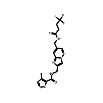 Cc1cnoc1C(=O)NCc1cn2ncc(CNC(=O)CCC(F)(F)F)cc2n1